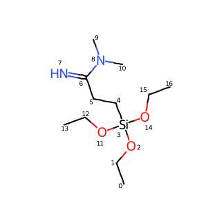 CCO[Si](CCC(=N)N(C)C)(OCC)OCC